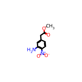 COC(=O)Cc1ccc([N+](=O)[O-])c(N)c1